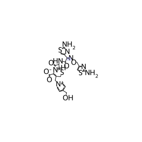 Nc1nc(CO/N=C(\C(=O)NC2C(=O)N3C(C(=O)[O-])=C(C[n+]4ccc(CO)cc4)CS[C@H]23)c2csc(N)n2)cs1